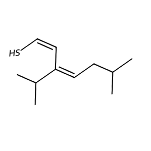 CC(C)C/C=C(\C=C/S)C(C)C